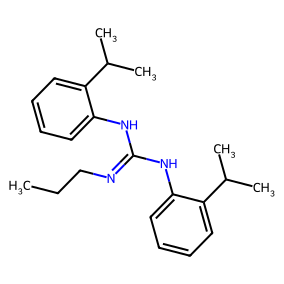 CCCN=C(Nc1ccccc1C(C)C)Nc1ccccc1C(C)C